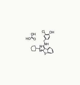 O=C(O)O.Oc1ccc(CNc2nc(C3CCCCC3)nc3sc4ccccc4c23)cc1Cl